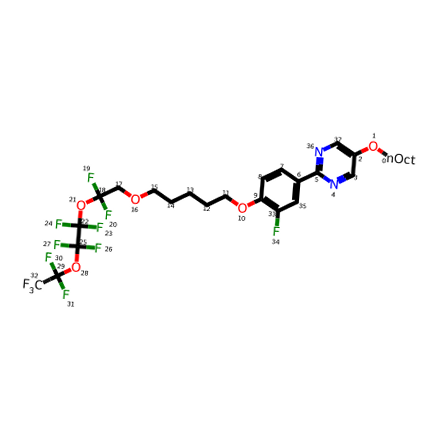 CCCCCCCCOc1cnc(-c2ccc(OCCCCCOCC(F)(F)OC(F)(F)C(F)(F)OC(F)(F)C(F)(F)F)c(F)c2)nc1